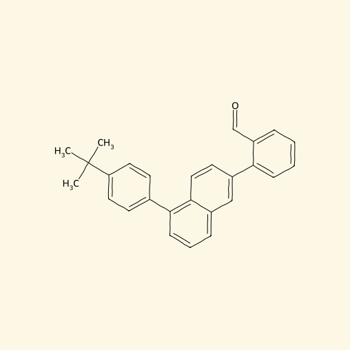 CC(C)(C)c1ccc(-c2cccc3cc(-c4ccccc4C=O)ccc23)cc1